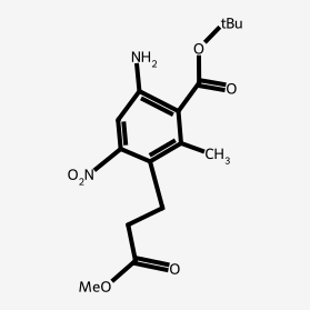 COC(=O)CCc1c([N+](=O)[O-])cc(N)c(C(=O)OC(C)(C)C)c1C